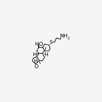 C=C1C[C@H]2[C@@H]3CCC(=O)[C@@]3(C)CC[C@@H]2[C@@]2(C)CC[C@@H](SCCCN)C[C@]12O